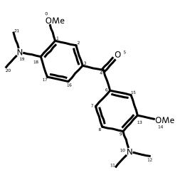 COc1cc(C(=O)c2ccc(N(C)C)c(OC)c2)ccc1N(C)C